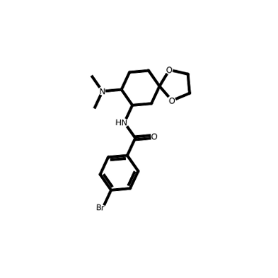 CN(C)C1CCC2(CC1NC(=O)c1ccc(Br)cc1)OCCO2